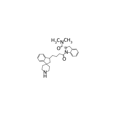 CN(C)C(=O)[C@@H]1Cc2ccccc2N1C(=O)CCCC1CC2(CCNCC2)c2ccccc21